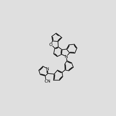 N#Cc1cccnc1-c1cccc(-c2cccc(-n3c4ccccc4c4c5c(ccc43)oc3ccccc35)c2)c1